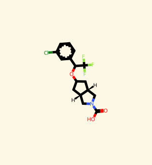 O=C(O)N1C[C@H]2CC(OC(c3cccc(Cl)c3)C(F)(F)F)C[C@H]2C1